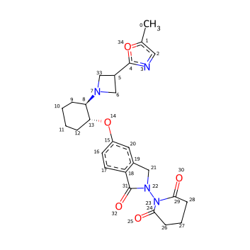 Cc1cnc(C2CN([C@@H]3CCCC[C@H]3Oc3ccc4c(c3)CN(N3C(=O)CCCC3=O)C4=O)C2)o1